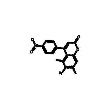 Cc1cc2oc(=O)cc(-c3ccc([N+](=O)[O-])cc3)c2c(C)c1Br